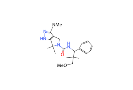 CNc1n[nH]c2c1CN(C(=O)NC(c1ccccc1)C(C)(C)COC)C2(C)C